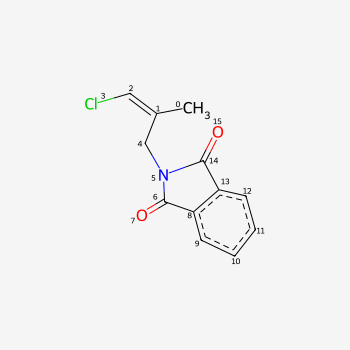 C/C(=C/Cl)CN1C(=O)c2ccccc2C1=O